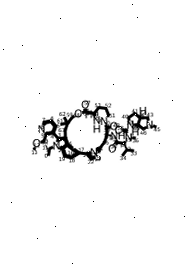 CCn1c(-c2cccnc2[C@H](C)OC)c2c3cc(ccc31)-c1csc(n1)C[C@H](NC(=O)[C@H](C(C)C)N(C)C(=O)N1CC[C@H]3CN(C)C[C@H]31)C(=O)N1CCC[C@H](N1)C(=O)OCC(C)(C)C2